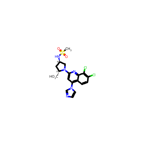 CS(=O)(=O)N[C@@H]1C[C@@H](C(=O)O)N(c2cc(-n3ccnc3)c3ccc(Cl)c(Cl)c3n2)C1